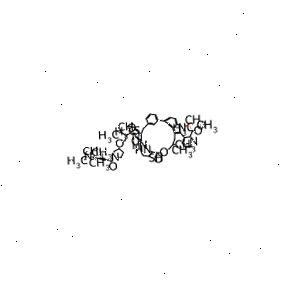 CCn1c(-c2cccnc2[C@H](C)OC)c2c3cc(ccc31)-c1cccc(c1)C[C@@](NC(=O)C(CO[C@H]1CCN(C(=O)C#CC(C)(C)N(C)C)C1)C(C)C)(SC)C(=O)N1CCC[C@@](S)(N1)C(=O)OCC(C)(C)C2